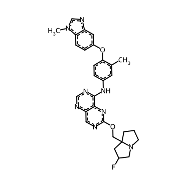 Cc1cc(Nc2ncnc3cnc(OCC45CCCN4CC(F)C5)nc23)ccc1Oc1ccc2c(c1)ncn2C